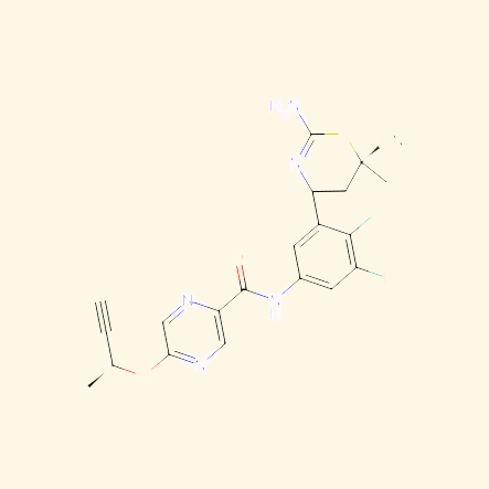 C#C[C@H](C)Oc1cnc(C(=O)Nc2cc(F)c(F)c([C@]3(C)C[C@](C)(C#N)SC(N)=N3)c2)cn1